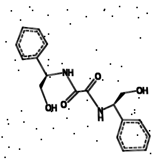 O=C(N[C@@H](CO)c1ccccc1)C(=O)N[C@@H](CO)c1ccccc1